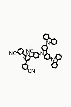 N#Cc1cccc(-c2cc(-c3ccc(-n4c5ccc(-n6c7ccccc7c7ccccc76)cc5c5cc(-n6c7ccccc7c7ccccc76)ccc54)cc3C#N)nc(-c3cccc(C#N)c3)n2)c1